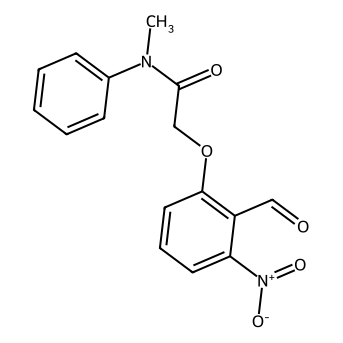 CN(C(=O)COc1cccc([N+](=O)[O-])c1C=O)c1ccccc1